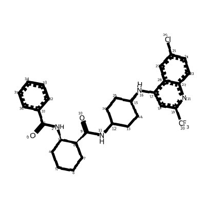 O=C(N[C@@H]1CCCC[C@@H]1C(=O)NC1CCC(Nc2cc(C(F)(F)F)nc3ccc(Cl)cc23)CC1)c1ccccc1